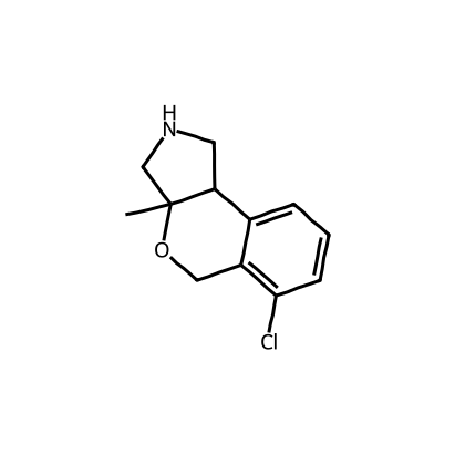 CC12CNCC1c1cccc(Cl)c1CO2